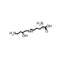 NCCC(O)CNCCCC[C@H](N)C(=O)O